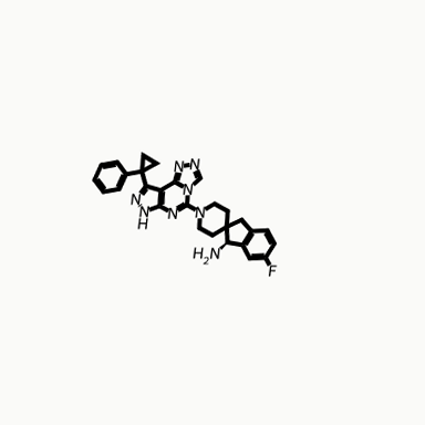 N[C@@H]1c2cc(F)ccc2CC12CCN(c1nc3[nH]nc(C4(c5ccccc5)CC4)c3c3nncn13)CC2